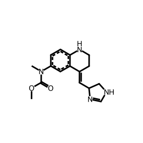 COC(=O)N(C)c1ccc2c(c1)/C(=C/C1CNC=N1)CCN2